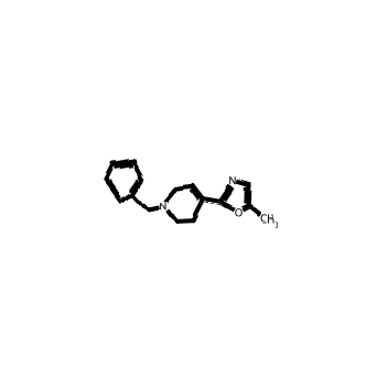 Cc1cnc(C2=CCN(Cc3ccccc3)CC2)o1